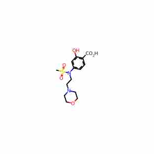 CS(=O)(=O)N(CCN1CCOCC1)c1ccc(C(=O)O)c(O)c1